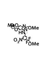 COCc1nc(N[C@H](C)c2cc([N+](=O)[O-])cc(C(F)(F)COC)c2)c2cc(O[C@H]3CCOC3)c(OC)cc2n1